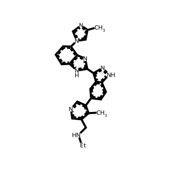 CCNCc1cncc(-c2ccc3[nH]nc(-c4nc5c(-n6cnc(C)c6)cccc5[nH]4)c3c2)c1C